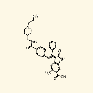 Cc1cc2c(cc1C(=O)O)NC(=O)/C2=C(/Nc1ccc(C(=O)NCC2CCN(CCO)CC2)cc1)c1ccccc1